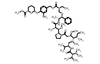 CC[C@H](C)[C@@H]([C@@H](CC(=O)N1CCC[C@H]1[C@H](OC)[C@@H](C)C(=O)N[C@H](C)[C@@H](OCN(CC)C(=O)OCc1ccc(O[C@@H]2CCC[C@H](C(=O)OC)O2)c(N)c1)c1ccccc1)OC)N(C)C[C@@H](NC(=O)[C@H](C(C)C)N(C)C)C(C)C